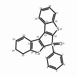 O=P1(c2ccccc2)c2sc3c(c2-c2c1sc1ccccc21)C=CCC3